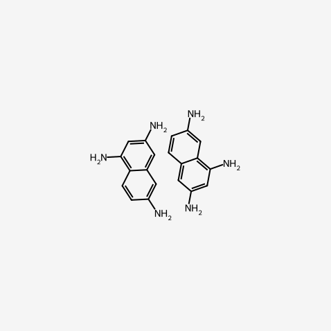 Nc1cc(N)c2cc(N)ccc2c1.Nc1ccc2c(N)cc(N)cc2c1